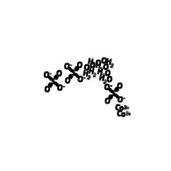 O.O.O.O.O.O.O.O=S(=O)([O-])[O-].O=S(=O)([O-])[O-].O=S(=O)([O-])[O-].[Co+3].[Co+3]